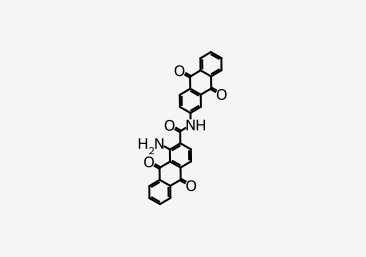 Nc1c(C(=O)Nc2ccc3c(c2)C(=O)c2ccccc2C3=O)ccc2c1C(=O)c1ccccc1C2=O